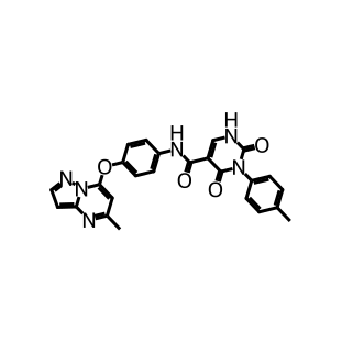 Cc1ccc(-n2c(=O)[nH]cc(C(=O)Nc3ccc(Oc4cc(C)nc5ccnn45)cc3)c2=O)cc1